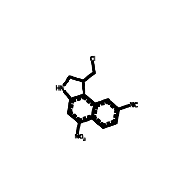 [C-]#[N+]c1ccc2c([N+](=O)[O-])cc3c(c2c1)C(CCl)CN3